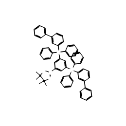 CC1(C)OB(c2cc([Si](c3ccccc3)(c3ccccc3)c3cccc(-c4ccccc4)c3)cc([Si](c3ccccc3)(c3ccccc3)c3cccc(-c4ccccc4)c3)c2)OC1(C)C